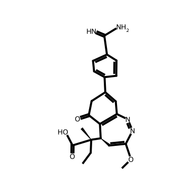 CC[C@](C)(C(=O)O)[C@@H]1C=C(OC)N=NC2=C1C(=O)CC(c1ccc(C(=N)N)cc1)=C2